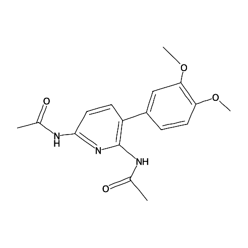 COc1ccc(-c2ccc(NC(C)=O)nc2NC(C)=O)cc1OC